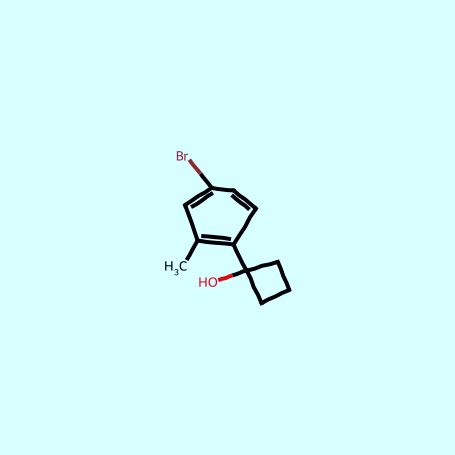 Cc1cc(Br)ccc1C1(O)CCC1